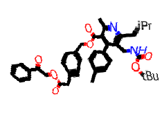 Cc1ccc(-c2c(CNC(=O)OC(C)(C)C)c(CC(C)C)nc(C)c2C(=O)OCc2ccc(CC(=O)OCC(=O)c3ccccc3)cc2)cc1